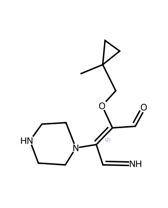 CC1(CO/C(C=O)=C(/C=N)N2CCNCC2)CC1